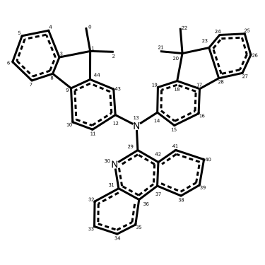 CC1(C)c2ccccc2-c2ccc(N(c3ccc4c(c3)C(C)(C)c3ccccc3-4)c3nc4ccccc4c4ccccc34)cc21